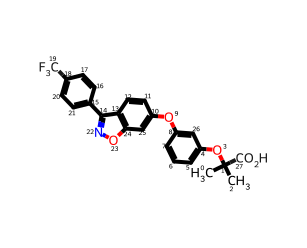 CC(C)(Oc1cccc(Oc2ccc3c(-c4ccc(C(F)(F)F)cc4)noc3c2)c1)C(=O)O